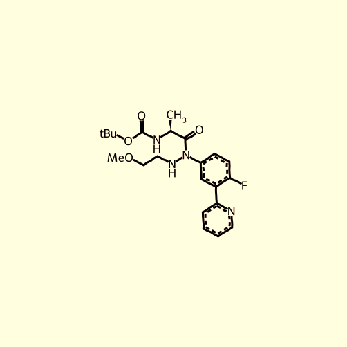 COCCNN(C(=O)[C@H](C)NC(=O)OC(C)(C)C)c1ccc(F)c(-c2ccccn2)c1